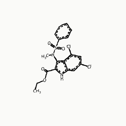 CCOC(=O)c1[nH]c2cc(Cl)cc(Cl)c2c1N(C)S(=O)(=O)c1ccccc1